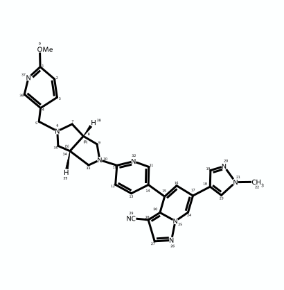 COc1ccc(CN2C[C@@H]3CN(c4ccc(-c5cc(-c6cnn(C)c6)cn6ncc(C#N)c56)cn4)C[C@@H]3C2)cn1